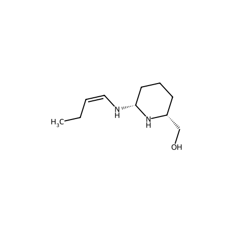 CC/C=C\N[C@@H]1CCC[C@H](CO)N1